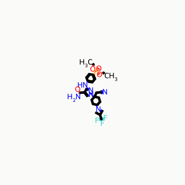 CCOP(=O)(OCC)c1ccc(Nc2nn(C3(CC#N)CCC(N4CC(C(F)(F)F)C4)CC3)cc2C(N)=O)cc1